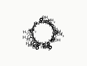 CCCC[C@H]1C(=O)N(C)[C@@H](CCCC)C(=O)N[C@@H](CC(C)C)C(=O)NCCOCC(=O)N[C@@H](Cc2ccc(O)cc2)C(=O)N(C)[C@@H](C)C(=O)N[C@@H](CC(N)=O)C(=O)N2CCCC2C(=O)N[C@@H](CN)C(=O)N[C@@H](CC(C)C)C(=O)N2C[C@H](O)C[C@H]2C(=O)N[C@@H](Cc2c[nH]c3ccccc23)C(=O)N[C@@H](CCN)C(=O)N[C@@H](Cc2cn(CC(=O)O)c3ccccc23)C(=O)N1C